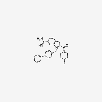 N=C(N)c1ccc2cc(C(=O)N3CCC(F)CC3)n(Cc3ccc(-c4ccccc4)cc3)c2c1